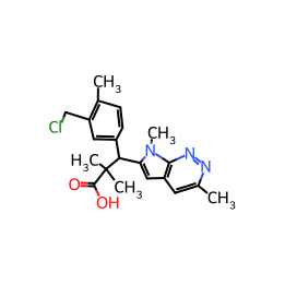 Cc1cc2cc(C(c3ccc(C)c(CCl)c3)C(C)(C)C(=O)O)n(C)c2nn1